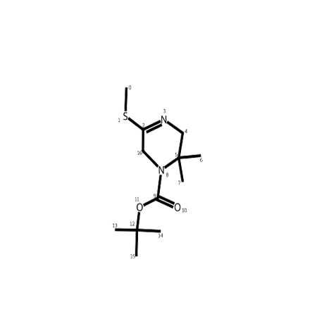 CSC1=NCC(C)(C)N(C(=O)OC(C)(C)C)C1